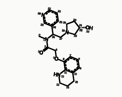 CN(C(=O)COc1cccc2c1NCCC2)C(CN1CC[C@H](O)C1)c1cccnc1